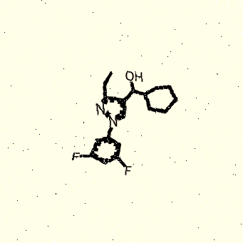 CCc1nn(-c2cc(F)cc(F)c2)cc1C(O)C1CCCCC1